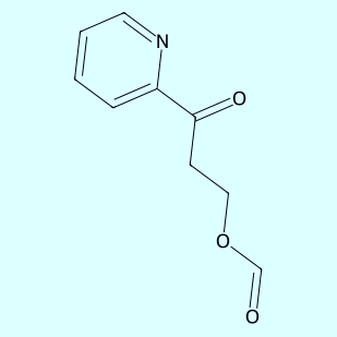 O=COCCC(=O)c1ccccn1